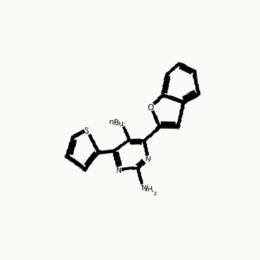 CCCCc1c(-c2cc3ccccc3o2)nc(N)nc1-c1cccs1